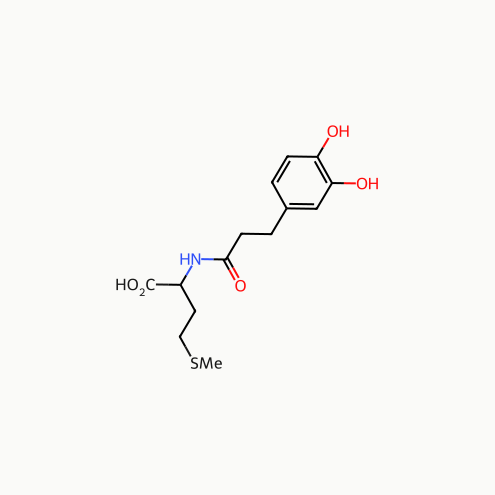 CSCCC(NC(=O)CCc1ccc(O)c(O)c1)C(=O)O